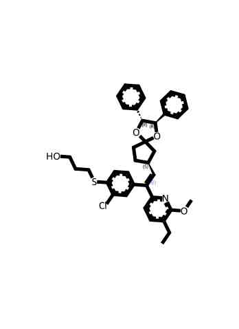 CCc1ccc(/C(=C/[C@H]2CCC3(C2)O[C@H](c2ccccc2)[C@@H](c2ccccc2)O3)c2ccc(SCCCO)c(Cl)c2)nc1OC